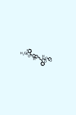 COc1ncccc1C(=O)N1CC2CN(CCC(NC(=O)OC3CCOC3)c3ccccc3)C[C@H]2C1